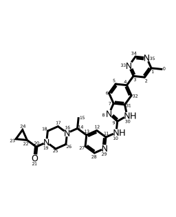 Cc1cc(-c2ccc3nc(Nc4cc(C(C)N5CCN(C(=O)C6CC6)CC5)ccn4)[nH]c3c2)ncn1